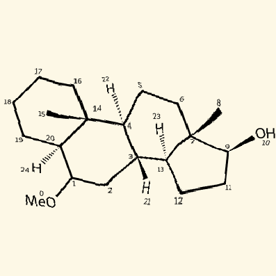 COC1C[C@@H]2[C@H](CC[C@]3(C)[C@@H](O)CC[C@@H]23)[C@@]2(C)CCCC[C@H]12